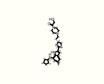 O=C(CO)N1CCN(CC[C@@H]2CSC(c3cc4cc(F)cc(NC5CCCC5)c4[nH]3)=N2)CC1